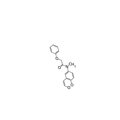 CN(C(=O)COc1ccccc1)c1ccc2c(c1)C=COO2